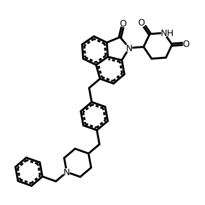 O=C1CCC(N2C(=O)c3cccc4c(Cc5ccc(CC6CCN(Cc7ccccc7)CC6)cc5)ccc2c34)C(=O)N1